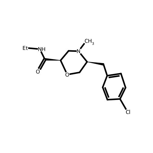 CCNC(=O)[C@H]1CN(C)[C@@H](Cc2ccc(Cl)cc2)CO1